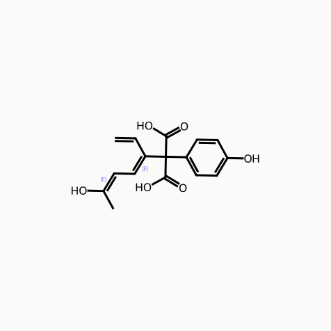 C=C/C(=C\C=C(/C)O)C(C(=O)O)(C(=O)O)c1ccc(O)cc1